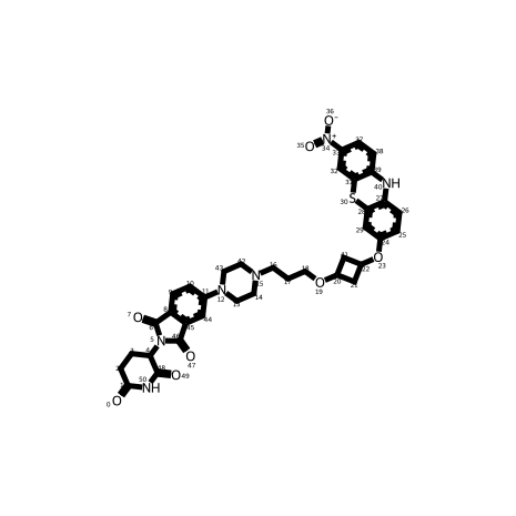 O=C1CCC(N2C(=O)c3ccc(N4CCN(CCCOC5CC(Oc6ccc7c(c6)Sc6cc([N+](=O)[O-])ccc6N7)C5)CC4)cc3C2=O)C(=O)N1